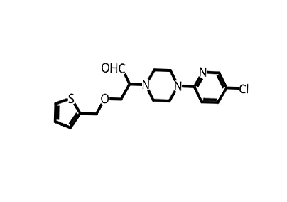 O=CC(COCc1cccs1)N1CCN(c2ccc(Cl)cn2)CC1